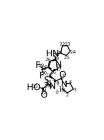 C[C@H]1CCCN1C(=O)c1nc(C(=O)O)sc1-c1cnc(NC2CCCC2)cc1C(F)F